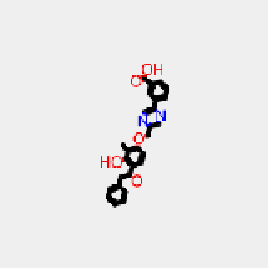 Cc1c(OCc2cnc(-c3cccc(C(=O)O)c3)cn2)ccc(C(=O)Cc2ccccc2)c1O